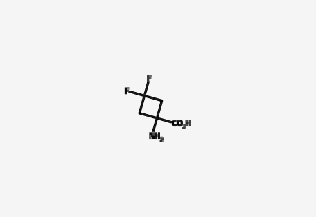 NC1(C(=O)O)CC(F)(F)C1